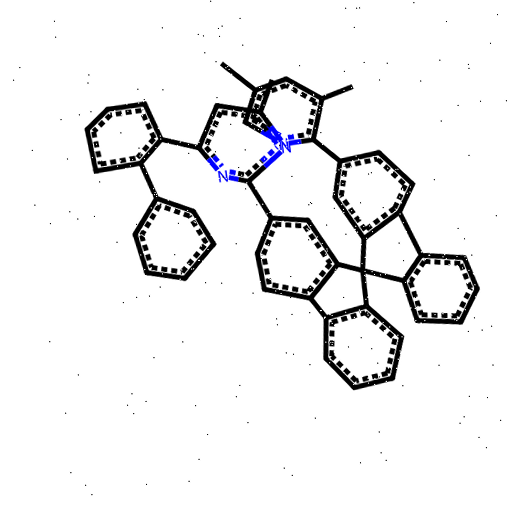 Cc1cnc(-c2ccc3c(c2)C2(c4ccccc4-c4ccc(-c5nc(C)cc(-c6ccccc6-c6ccccc6)n5)cc42)c2ccccc2-3)c(C)c1